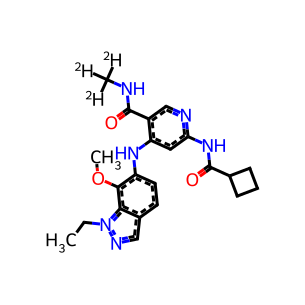 [2H]C([2H])([2H])NC(=O)c1cnc(NC(=O)C2CCC2)cc1Nc1ccc2cnn(CC)c2c1OC